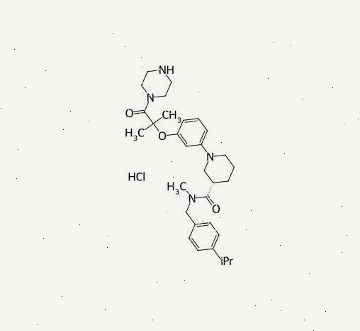 CC(C)c1ccc(CN(C)C(=O)[C@H]2CCCN(c3cccc(OC(C)(C)C(=O)N4CCNCC4)c3)C2)cc1.Cl